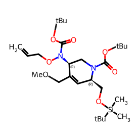 C=CCON(C(=O)OC(C)(C)C)[C@H]1CN(C(=O)OC(C)(C)C)[C@@H](CO[Si](C)(C)C(C)(C)C)C=C1COC